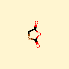 O=C1CSC(=O)O1